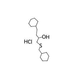 Cl.OC(CCC1CCCCC1)CSCC1CCCCC1